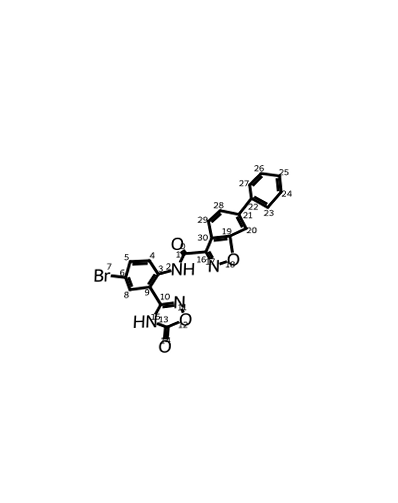 O=C(Nc1ccc(Br)cc1-c1noc(=O)[nH]1)c1noc2cc(-c3ccccc3)ccc12